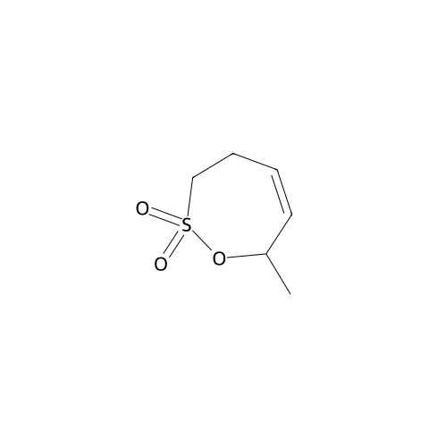 CC1C=CCCS(=O)(=O)O1